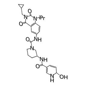 CC(C)n1c(=O)n(CC2CC2)c(=O)c2cc(NC(=O)N3CCCC(NC(=O)C4=CNC(O)C=C4)C3)ccc21